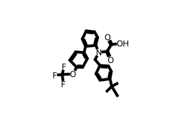 CC(C)(C)c1ccc(CN(C(=O)C(=O)O)c2ccccc2-c2ccc(OC(F)(F)F)cc2)cc1